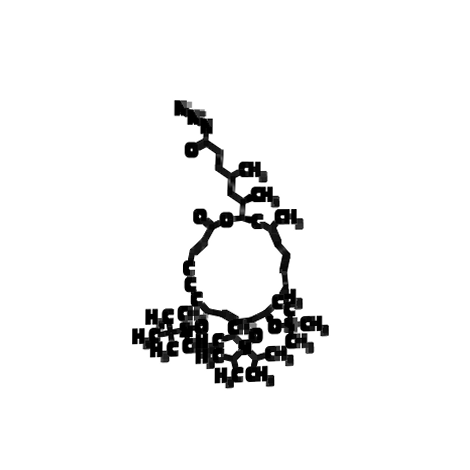 CC(/C=C/C(=O)N=[N+]=[N-])=C\[C@@H](C)[C@H]1C/C(C)=C/C=C/CC[C@@H](O[Si](C)(C)C)[C@H](O[Si](C(C)C)(C(C)C)C(C)C)/C=C/[C@H](O[Si](C)(C)C(C)(C)C)CCC/C=C/C(=O)O1